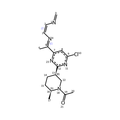 C=N/C=C\N=C(/C)c1cc(Cl)nc([C@@H]2CC[C@H](C)N(C(C)=O)C2)n1